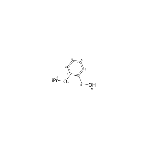 CC(C)Oc1ccccc1CO